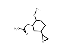 COC1CCC(C2CO2)CC1OC(C)=O